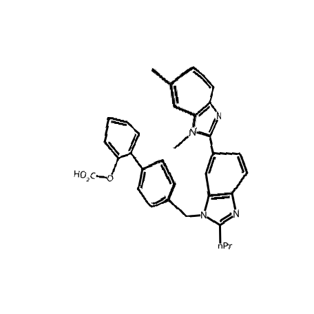 CCCc1nc2ccc(-c3nc4ccc(C)cc4n3C)cc2n1Cc1ccc(-c2ccccc2OC(=O)O)cc1